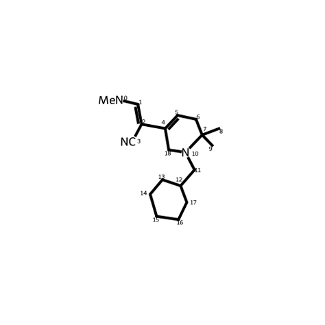 CN/C=C(\C#N)C1=CCC(C)(C)N(CC2CCCCC2)C1